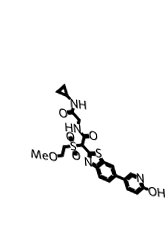 COCCS(=O)(=O)C(C(=O)NCC(=O)NC1CC1)c1nc2ccc(-c3ccc(O)nc3)cc2s1